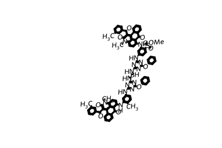 COS(=O)(=O)c1ccc(Nc2nc(NBNc3nc(Nc4ccc(C)c(Nc5ccc6c7c5C(=O)c5ccccc5-c7c(C(=O)c5cccc(C)c5)c(=O)n6C)c4)nc(Oc4ccccc4)n3)nc(Oc3ccccc3)n2)cc1Nc1ccc2c3c1C(=O)c1ccccc1-c3c(C(=O)c1cccc(C)c1)c(=O)n2C